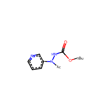 CCCCOC(=O)NN(C(C)=O)c1cccnc1